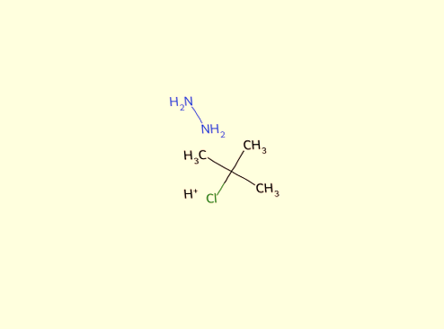 CC(C)(C)Cl.NN.[H+]